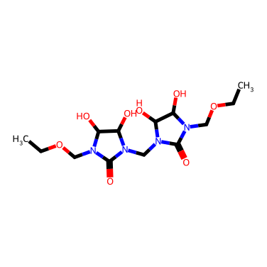 CCOCN1C(=O)N(CN2C(=O)N(COCC)C(O)C2O)C(O)C1O